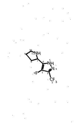 Fc1c(C(F)(F)F)n[nH]c1C1CCCN1